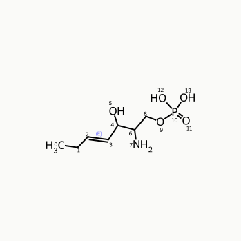 CC/C=C/C(O)C(N)COP(=O)(O)O